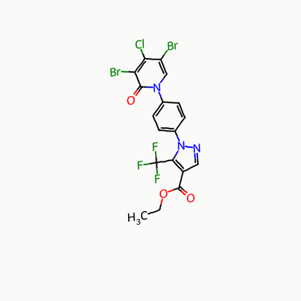 CCOC(=O)c1cnn(-c2ccc(-n3cc(Br)c(Cl)c(Br)c3=O)cc2)c1C(F)(F)F